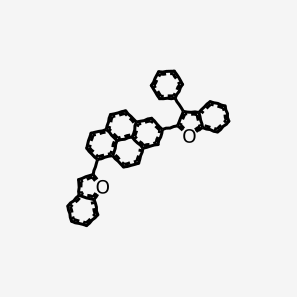 c1ccc(-c2c(-c3cc4ccc5ccc(-c6cc7ccccc7o6)c6ccc(c3)c4c56)oc3ccccc23)cc1